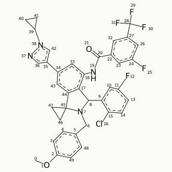 COc1ccc(CN2C(c3cc(F)ccc3Cl)c3c(NC(=O)c4cc(F)cc(C(F)(F)F)c4)cc(-c4cnn(C5CC5)c4)cc3C23CC3)cc1